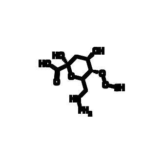 O=C(O)[C@@]1(O)C[C@@H](O)[C@H](OOS)C(CNP)O1